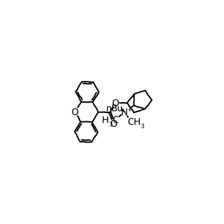 CCCC[N+](C)(C)C1C2CCC1C(OC(=O)C1c3ccccc3Oc3ccccc31)C2